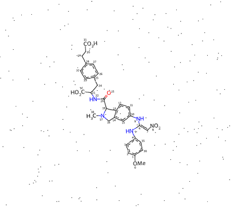 COc1ccc(N/C(=C/[N+](=O)[O-])Nc2ccc3c(c2)CN(C)C3C(=O)NC(Cc2ccc(CCC(=O)O)cc2)C(=O)O)cc1